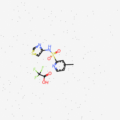 Cc1ccnc(S(=O)(=O)Nc2cscn2)c1.O=C(O)C(F)(F)F